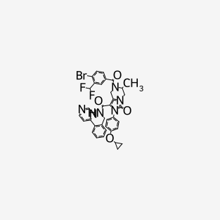 CC1Cn2c(c(C(=O)NCc3ccccc3-c3ccncn3)n(-c3ccc(OC4CC4)cc3)c2=O)CN1C(=O)c1ccc(Br)c(C(F)F)c1